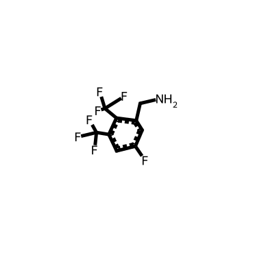 NCc1cc(F)cc(C(F)(F)F)c1C(F)(F)F